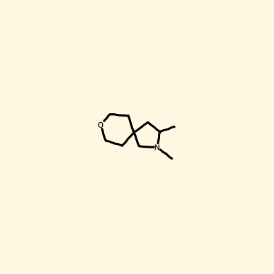 CC1CC2(CCOCC2)CN1C